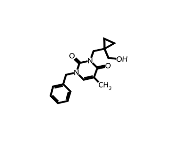 Cc1cn(Cc2ccccc2)c(=O)n(CC2(CO)CC2)c1=O